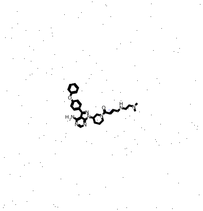 CN(C)CCNC/C=C/C(=O)N1CCCC(n2nc(-c3ccc(Oc4ccccc4)cc3)c3c(N)ncnc32)C1